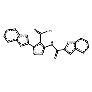 O=C(Nc1csc(-c2cc3ccccc3o2)c1C(=O)O)c1cc2ccccc2o1